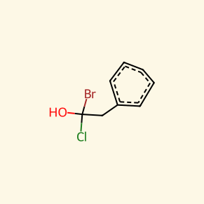 OC(Cl)(Br)Cc1ccccc1